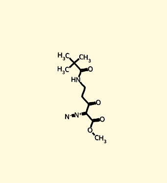 COC(=O)C(=[N+]=[N-])C(=O)CCNC(=O)C(C)(C)C